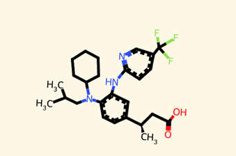 CC(C)CN(c1ccc([C@H](C)CC(=O)O)cc1Nc1ccc(C(F)(F)F)cn1)C1CCCCC1